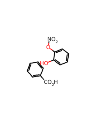 O=C(O)c1ccccc1.O=[N+]([O-])Oc1ccccc1O